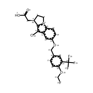 O=C(O)C[C@H]1CCn2c1c(Cl)c1cc(OCc3ccc(OCF)c(C(F)(F)F)c3)ccc12